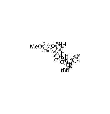 COc1ccc(C(=O)CC(c2cccc(NC(=O)Nc3cc(C(C)(C)C)nn3-c3ccc(C)cc3)c2)C2CCNCC2)cc1